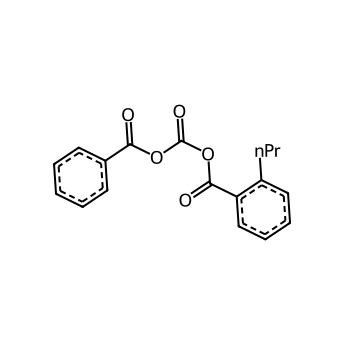 CCCc1ccccc1C(=O)OC(=O)OC(=O)c1ccccc1